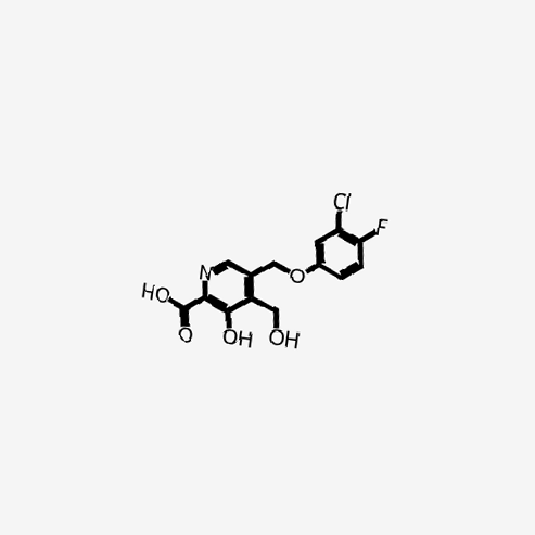 O=C(O)c1ncc(COc2ccc(F)c(Cl)c2)c(CO)c1O